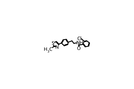 Cc1nc(-c2ccc(CCNC(=O)c3ccccc3Cl)cc2)cs1